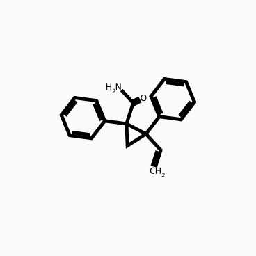 C=CC1(c2ccccc2)CC1(C(N)=O)c1ccccc1